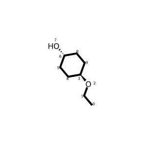 CCO[C@H]1CC[C@H](O)CC1